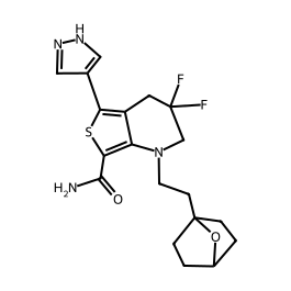 NC(=O)c1sc(-c2cn[nH]c2)c2c1N(CCC13CCC(CC1)O3)CC(F)(F)C2